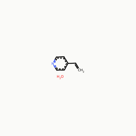 C=Cc1ccncc1.O